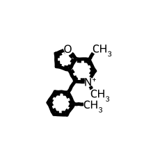 Cc1ccccc1-c1c2ccoc2c(C)c[n+]1C